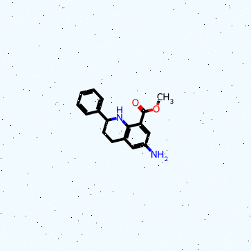 COC(=O)c1cc(N)cc2c1NC(c1ccccc1)CC2